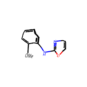 COc1ccccc1Nc1ncco1